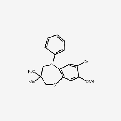 CCCCC1(C)CSc2cc(OC)c(Br)cc2N(c2ccccc2)C1